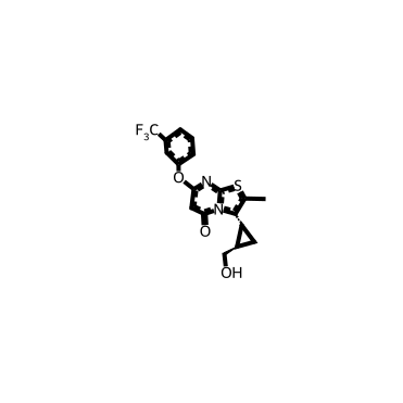 Cc1sc2nc(Oc3cccc(C(F)(F)F)c3)cc(=O)n2c1[C@@H]1C[C@H]1CO